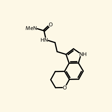 CNC(=O)NCCc1c[nH]c2ccc3c(c12)CCCO3